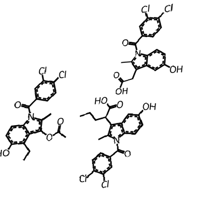 CCCC(C(=O)O)c1c(C)n(C(=O)c2ccc(Cl)c(Cl)c2)c2ccc(O)cc12.CCc1c(O)ccc2c1c(OC(C)=O)c(C)n2C(=O)c1ccc(Cl)c(Cl)c1.Cc1c(CC(=O)O)c2cc(O)ccc2n1C(=O)c1ccc(Cl)c(Cl)c1